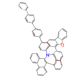 c1ccc(-c2ccc(-c3ccc(-c4ccc(N(c5ccccc5-c5cccc6c5oc5ccccc56)c5c(-c6ccccc6)c6ccccc6c6ccccc56)cc4)cc3)cc2)cc1